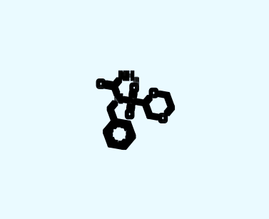 NC(=O)N(Cc1ccccc1)S(=O)(=O)C1COCCO1